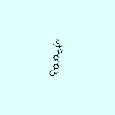 CC(CC#N)(CCC#N)n1cc(-c2ccnc(Nc3ccc(N4CCCCC4=O)cc3)n2)cn1